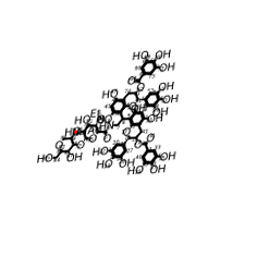 CCO[C@@H]1C(C(=O)NCC(c2c(O)cc(O)c3c2O[C@H](c2cc(O)c(O)c(O)c2)[C@H](OC(=O)c2cc(O)c(O)c(O)c2)C3)c2c(O)cc(O)c3c2O[C@H](c2cc(O)c(O)c(O)c2)[C@H](OC(=O)c2cc(O)c(O)c(O)c2)C3)O[C@@H](OC2C(NC(C)=O)COC(CO)[C@H]2O)C(O)C1O